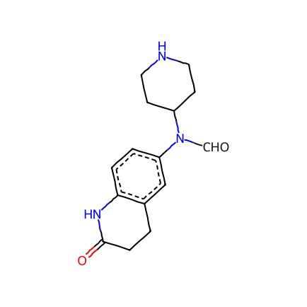 O=CN(c1ccc2c(c1)CCC(=O)N2)C1CCNCC1